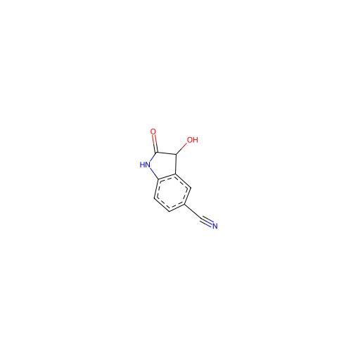 N#Cc1ccc2c(c1)C(O)C(=O)N2